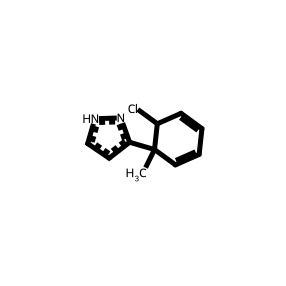 CC1(c2cc[nH]n2)C=CC=CC1Cl